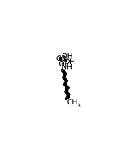 CCCCCCCCCCNOP(=O)(O)O